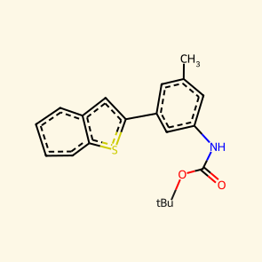 Cc1cc(NC(=O)OC(C)(C)C)cc(-c2cc3ccccc3s2)c1